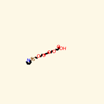 O=C(O)CCOCCOCCOCCOCCSSc1ccccn1